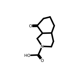 O=C1CCCC2CCN(C(=O)O)CC12